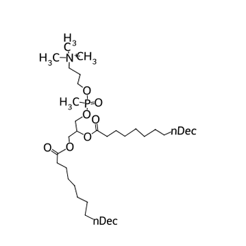 CCCCCCCCCCCCCCCCCC(=O)OCC(COP(C)(=O)OCCC[N+](C)(C)C)OC(=O)CCCCCCCCCCCCCCCCC